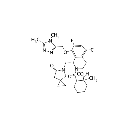 Cc1nnc(COc2c(F)cc(Cl)c3c2[C@@H](CN2CC4(CC4)CC2=O)N(C(=O)C2CCCCC2(C)C(=O)O)CC3)n1C